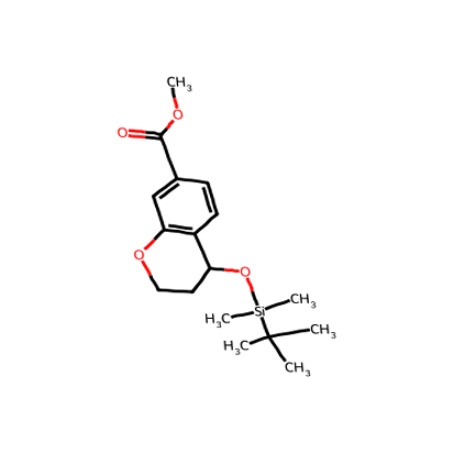 COC(=O)c1ccc2c(c1)OCCC2O[Si](C)(C)C(C)(C)C